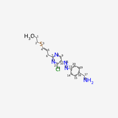 CCCSC=CCc1ncc(/N=N/c2ccc(CN)cc2)c(Cl)n1